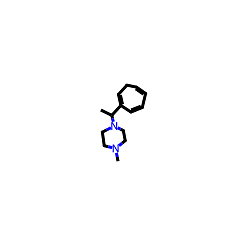 CC(C1=CCC=CC=C1)N1CCN(C)CC1